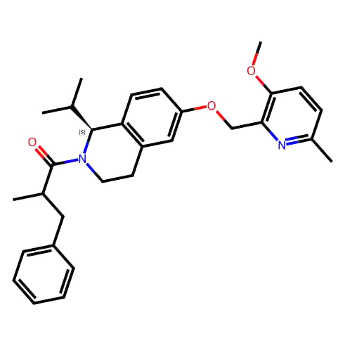 COc1ccc(C)nc1COc1ccc2c(c1)CCN(C(=O)C(C)Cc1ccccc1)[C@H]2C(C)C